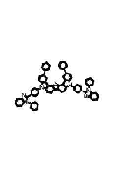 c1ccc(-c2ccc3c(c2)c2c4sc5c(ccc6c5c5cc(-c7ccccc7)ccc5n6-c5ccc(-c6nc7ccccc7n6-c6ccccc6)cc5)c4ccc2n3-c2ccc(-c3nc4ccccc4n3-c3ccccc3)cc2)cc1